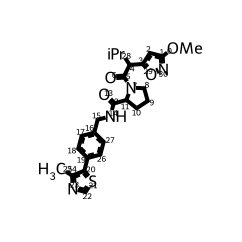 COc1cc(C(C(=O)N2CCCC2C(=O)NCc2ccc(-c3scnc3C)cc2)C(C)C)on1